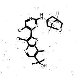 Cc1c(C(C)(C)O)cnc2c(Cl)c(-c3nc(N[C@@H]4C[C@H]5CO[C@@H](C4)O5)ncc3Cl)sc12